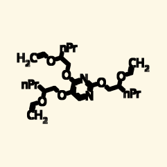 C=COC(CCC)COc1ncc(OCC(CCC)OC=C)c(OCC(CCC)OC=C)n1